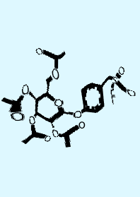 CC(=O)OC[C@H]1O[C@@H](Oc2ccc(CS(=O)(=O)F)cc2)[C@H](OC(C)=O)[C@@H](OC(C)=O)[C@H]1OC(C)=O